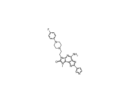 Cn1c(=O)n(CCN2CCN(c3ccc(F)cc3)CC2)c2nc(N)n3nc(-c4ccns4)nc3c21